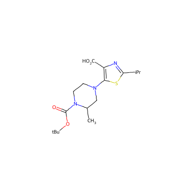 CC(C)c1nc(C(=O)O)c(N2CCN(C(=O)OC(C)(C)C)C(C)C2)s1